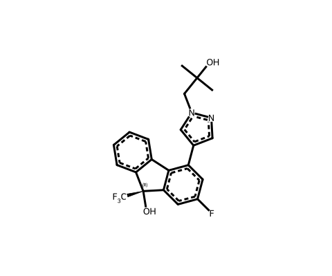 CC(C)(O)Cn1cc(-c2cc(F)cc3c2-c2ccccc2[C@]3(O)C(F)(F)F)cn1